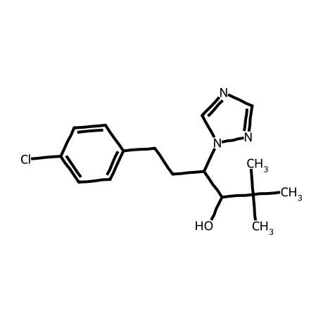 CC(C)(C)C(O)C(CCc1ccc(Cl)cc1)n1cncn1